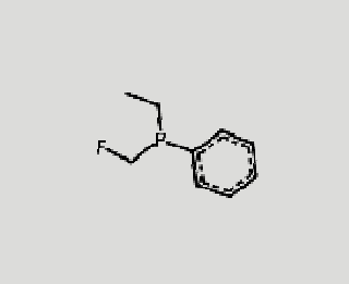 CCP(CF)c1ccccc1